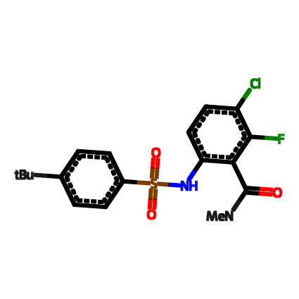 CNC(=O)c1c(NS(=O)(=O)c2ccc(C(C)(C)C)cc2)ccc(Cl)c1F